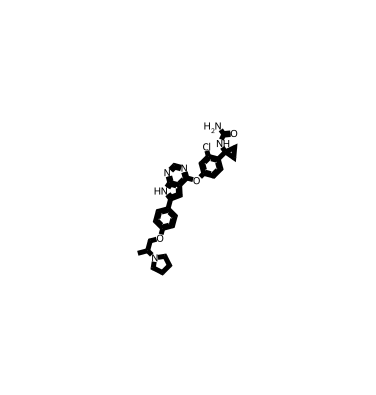 CC(COc1ccc(-c2cc3c(Oc4ccc(C5(NC(N)=O)CC5)c(Cl)c4)ncnc3[nH]2)cc1)N1CCCC1